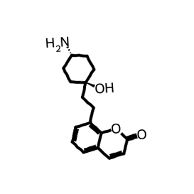 N[C@H]1CC[C@@](O)(CCc2cccc3ccc(=O)oc23)CC1